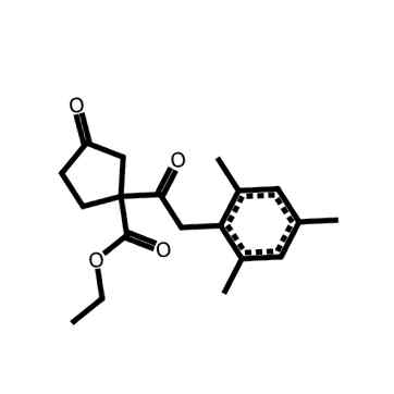 CCOC(=O)C1(C(=O)Cc2c(C)cc(C)cc2C)CCC(=O)C1